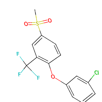 CS(=O)(=O)c1ccc(Oc2cccc(Cl)c2)c(C(F)(F)F)c1